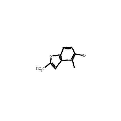 CCOC(=O)c1cc2c(C)c(Br)ccc2s1